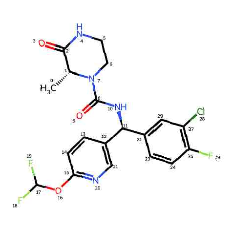 C[C@@H]1C(=O)NCCN1C(=O)N[C@H](c1ccc(OC(F)F)nc1)c1ccc(F)c(Cl)c1